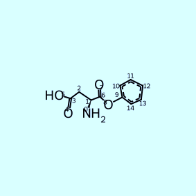 N[C@@H](CC(=O)O)C(=O)Oc1ccccc1